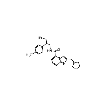 Cc1ccc(C(CNC(=O)c2cccc3nc(CN4CCCC4)cn23)CC(C)C)cc1